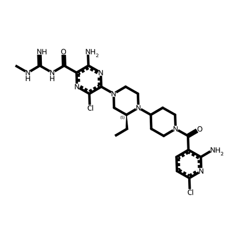 CC[C@H]1CN(c2nc(N)c(C(=O)NC(=N)NC)nc2Cl)CCN1C1CCN(C(=O)c2ccc(Cl)nc2N)CC1